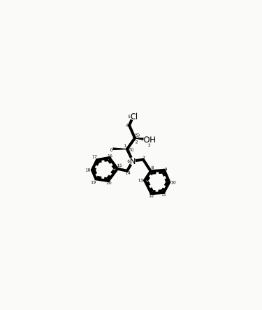 C[C@@H]([C@H](O)CCl)N(Cc1ccccc1)Cc1ccccc1